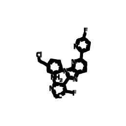 Nc1nccc(F)c1-c1nc2ccc(-c3ccc(F)cn3)nc2n1-c1ccc(CCl)cc1